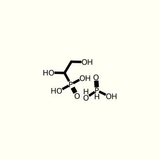 O=P(O)(O)C(O)CO.O=[PH](O)O